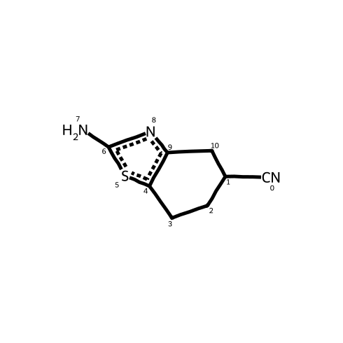 N#CC1CCc2sc(N)nc2C1